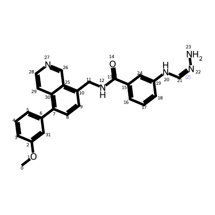 COc1cccc(-c2ccc(CNC(=O)c3cccc(N/C=N\N)c3)c3cnccc23)c1